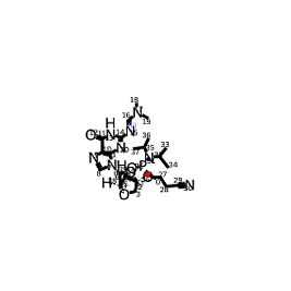 CC[C@@]12CO[C@@H]([C@H](n3cnc4c(=O)[nH]c(/N=C/N(C)C)nc43)O1)[C@@H]2OP(OCCC#N)N(C(C)C)C(C)C